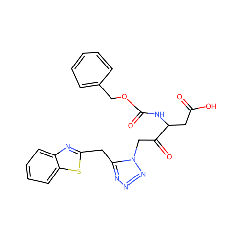 O=C(O)CC(NC(=O)OCc1ccccc1)C(=O)Cn1nnnc1Cc1nc2ccccc2s1